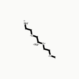 COCCOCCOCC[NH-].[Na+]